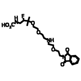 CC(C)(OCCOCCNCCOCCN1C(=O)c2ccccc2C1=O)C(F)CNC(=O)O